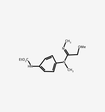 CCOC(=O)Nc1ccc(N(C)C(COC)=NC)cc1